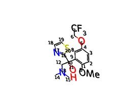 COc1ccc(OCC(F)(F)F)cc1C(O)(CN(C)C)c1nccs1